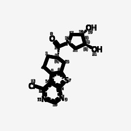 O=C([C@H]1CCc2c(sc3ncnc(Cl)c23)C1)N1C[C@H](O)[C@@H](O)C1